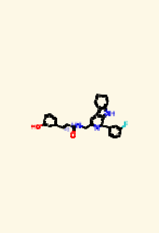 O=C(/C=C/c1cccc(O)c1)NCc1cc2c([nH]c3ccccc32)c(-c2cccc(F)c2)n1